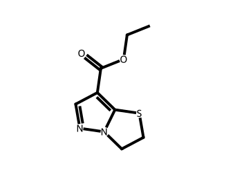 CCOC(=O)c1cnn2c1SCC2